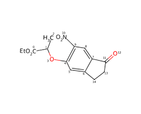 CCOC(=O)C(C)Oc1cc2c(cc1[N+](=O)[O-])C(=O)CC2